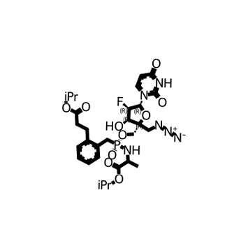 CC(C)OC(=O)CCc1ccccc1CP(=O)(NC(C)C(=O)OC(C)C)OC[C@@]1(CN=[N+]=[N-])O[C@@H](n2ccc(=O)[nH]c2=O)[C@H](F)[C@@H]1O